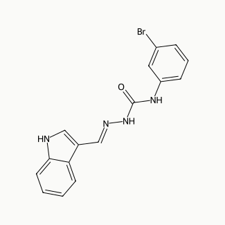 O=C(NN=Cc1c[nH]c2ccccc12)Nc1cccc(Br)c1